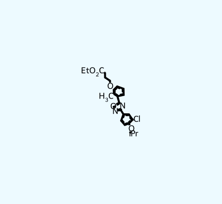 CCOC(=O)CCCOc1cccc(-c2nc(-c3ccc(OC(C)C)c(Cl)c3)no2)c1C